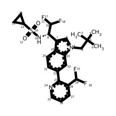 CC(C)(C)Cn1cc([C@H](NS(=O)(=O)C2CC2)C(F)F)c2ccc(-c3ncccc3C(F)F)cc21